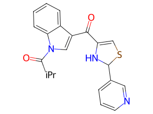 CC(C)C(=O)n1cc(C(=O)C2=CSC(c3cccnc3)N2)c2ccccc21